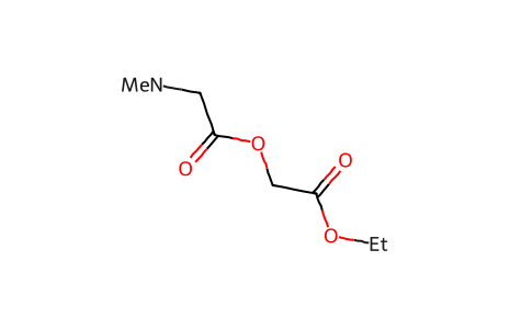 CCOC(=O)COC(=O)CNC